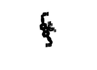 CC1(C)c2cc(C#CCO)ccc2-c2ccc(C#CCO)cc21